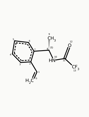 C=Cc1ccccc1[C@H](C)NC(=O)C(F)(F)F